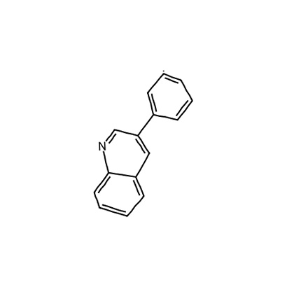 [c]1cccc(-c2cnc3ccccc3c2)c1